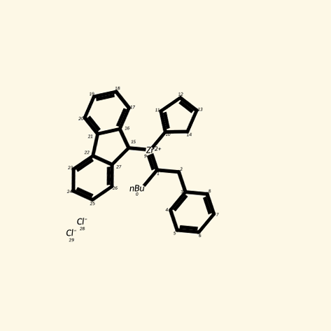 CCCC/[C](Cc1ccccc1)=[Zr+2](/[C]1=CC=CC1)[CH]1c2ccccc2-c2ccccc21.[Cl-].[Cl-]